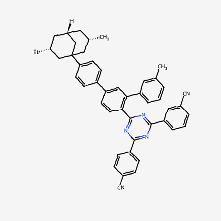 CC[C@@H]1C[C@@H]2C[C@H](C)CC(c3ccc(-c4ccc(-c5nc(-c6ccc(C#N)cc6)nc(-c6cccc(C#N)c6)n5)c(-c5cccc(C)c5)c4)cc3)(C1)C2